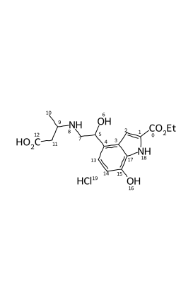 CCOC(=O)c1cc2c(C(O)CNC(C)CC(=O)O)ccc(O)c2[nH]1.Cl